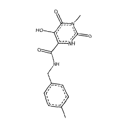 Cc1ccc(CNC(=O)c2[nH]c(=O)n(C)c(=O)c2O)cc1